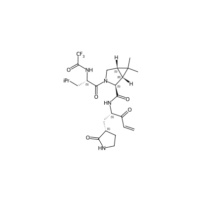 C=CC(=O)[C@H](C[C@@H]1CCNC1=O)NC(=O)[C@@H]1[C@@H]2[C@H](CN1C(=O)[C@H](CC(C)C)NC(=O)C(F)(F)F)C2(C)C